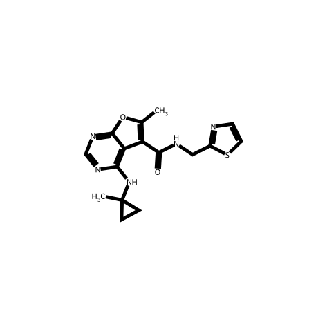 Cc1oc2ncnc(NC3(C)CC3)c2c1C(=O)NCc1nccs1